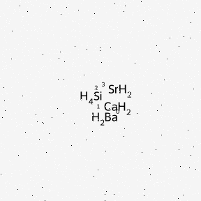 [BaH2].[CaH2].[SiH4].[SrH2]